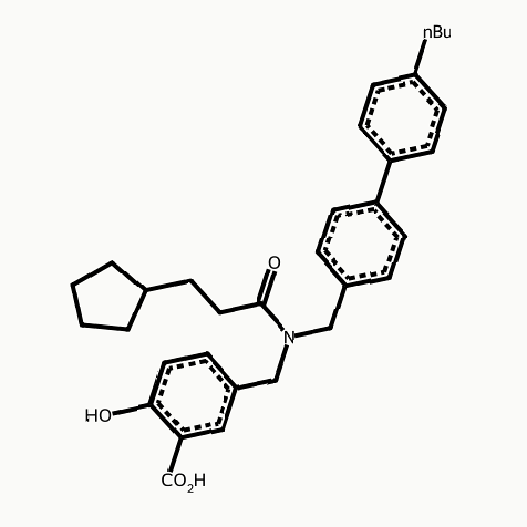 CCCCc1ccc(-c2ccc(CN(Cc3ccc(O)c(C(=O)O)c3)C(=O)CCC3CCCC3)cc2)cc1